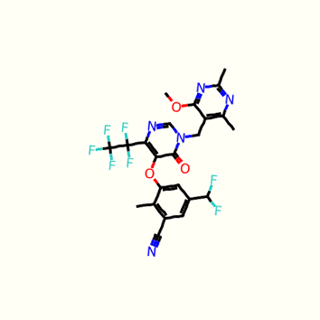 COc1nc(C)nc(C)c1Cn1cnc(C(F)(F)C(F)(F)F)c(Oc2cc(C(F)F)cc(C#N)c2C)c1=O